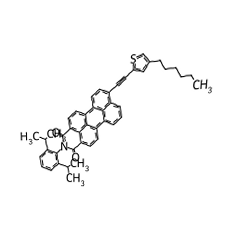 CCCCCCc1csc(C#Cc2ccc3c4ccc5c6c(ccc(c7cccc2c73)c64)C(=O)N(c2c(C(C)C)cccc2C(C)C)C5=O)c1